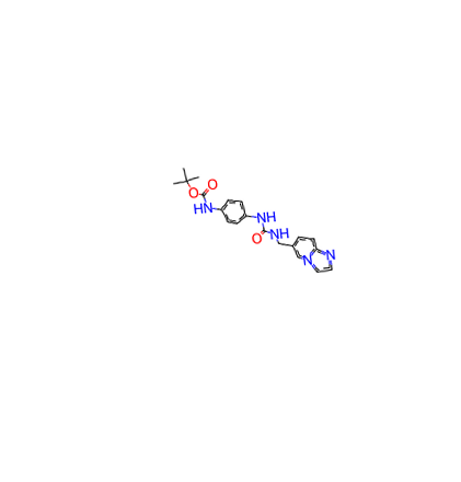 CC(C)(C)OC(=O)Nc1ccc(NC(=O)NCc2ccc3nccn3c2)cc1